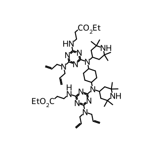 C=CCN(CC=C)c1nc(NCCC(=O)OCC)nc(N(C2CCC(N(c3nc(NCCC(=O)OCC)nc(N(CC=C)CC=C)n3)C3CC(C)(C)NC(C)(C)C3)CC2)C2CC(C)(C)NC(C)(C)C2)n1